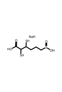 O=C(O)C(S)C(S)CCCS(=O)O.[NaH]